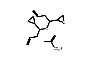 C=C(C)C(=O)O.C=CCC(OC(CC=C)C1CO1)C1CO1